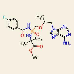 CC(C)OC(=O)C(C)(C)NP(=O)(COC(C)Cn1cnc2c(N)ncnc21)NC(=O)c1ccc(F)cc1